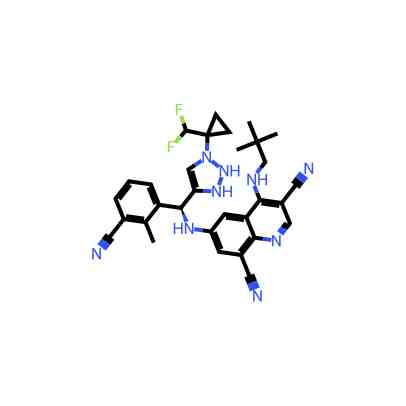 Cc1c(C#N)cccc1[C@H](Nc1cc(C#N)c2ncc(C#N)c(NCC(C)(C)C)c2c1)C1=CN(C2(C(F)F)CC2)NN1